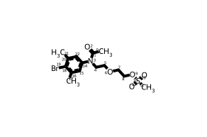 CC(=O)N(CCOCCOS(C)(=O)=O)c1cc(C)c(Br)c(C)c1